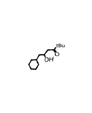 CC(C)(C)C(=O)CC(O)CC1CCCCC1